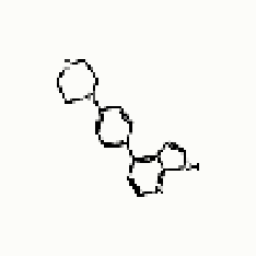 c1cc(-c2ccc(N3CCOCC3)cc2)c2cc[nH]c2n1